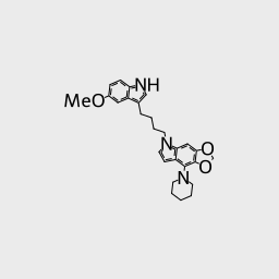 COc1ccc2[nH]cc(CCCCn3ccc4c(N5CCCCC5)c5c(cc43)OCO5)c2c1